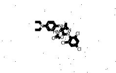 CCN(CC)c1ccc(NC2(NC(C)=O)C(=O)N(c3c(Cl)cc(Cl)cc3Cl)N=C2C)cc1